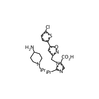 CC(C)N1CCC(N)CC1.CC(C)c1ncc(C(=O)O)n1Cc1cc(-c2ccc(Cl)s2)on1